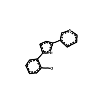 Clc1ccccc1-c1ccc(-c2cccnc2)[nH]1